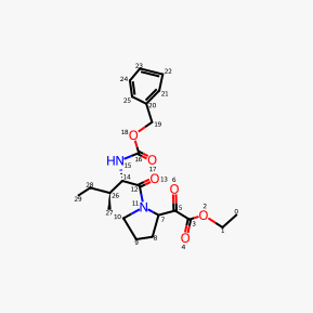 CCOC(=O)C(=O)C1CCCN1C(=O)[C@@H](NC(=O)OCc1ccccc1)[C@@H](C)CC